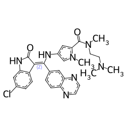 CN(C)CCN(C)C(=O)c1cc(N/C(=C2\C(=O)Nc3cc(Cl)ccc32)c2ccc3nccnc3c2)cn1C